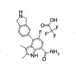 Cc1[nH]c2c(C(N)=O)cc(F)c(-c3ccc4c(c3)CNC4)c2c1C.O=C(O)C(F)(F)F